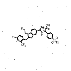 [2H]C([2H])(O)[C@H](NC(=O)c1ccc2c(c1)cc(Cc1ccc(Cl)cc1C(F)(F)F)n2CCF)c1ccc(S(=O)(=O)CC)cc1